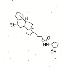 CC[C@H]1CC2C3CCC(CCCOC(=O)NC4CCCC4O)C3(C)CC[C@@H]2C2(C)CCCCC12